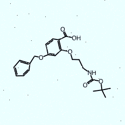 CC(C)(C)OC(=O)NCCCOc1cc(OCc2ccccc2)ccc1C(=O)O